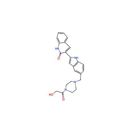 O=C(CO)N1CCN(Cc2ccc3[nH]c(-c4cc5ccccc5[nH]c4=O)cc3c2)CC1